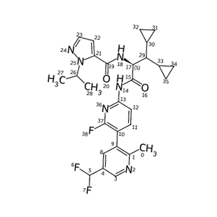 Cc1ncc(C(F)F)cc1-c1ccc(NC(=O)[C@@H](NC(=O)c2ccnn2C(C)C)C(C2CC2)C2CC2)nc1F